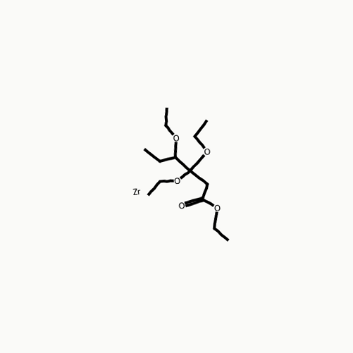 CCOC(=O)CC(OCC)(OCC)C(CC)OCC.[Zr]